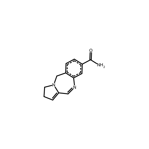 NC(=O)c1ccc2c(c1)N=CC1=CCCN1C2